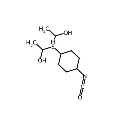 CC(O)[SH](C(C)O)C1CCC(N=C=O)CC1